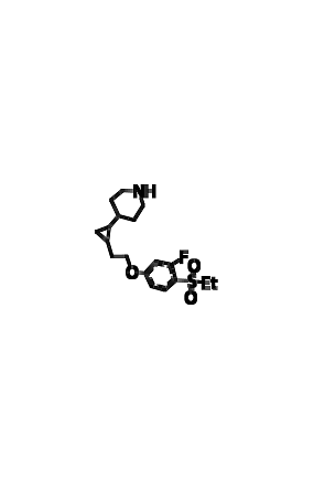 CCS(=O)(=O)c1ccc(OCCC2CC2C2CCNCC2)cc1F